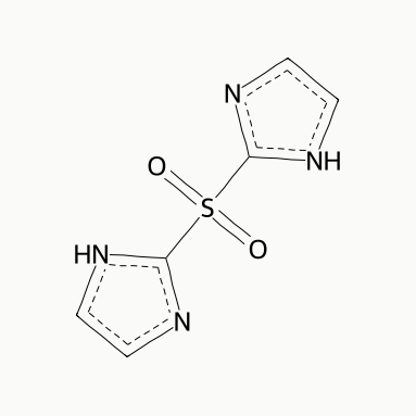 O=S(=O)(c1ncc[nH]1)c1ncc[nH]1